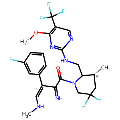 CN/C=C(\C(=N)C(=O)N1CC(F)(F)C[C@@H](C)C1CNc1ncc(C(F)(F)F)c(OC)n1)c1cccc(F)c1